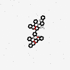 Cc1cc(-c2ccc(N(c3ccccc3-c3cccc4ccccc34)c3cccc4c3oc3ccccc34)c(C)c2)ccc1N(c1ccccc1-c1cccc2ccccc12)c1cccc2c1oc1ccccc12